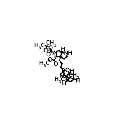 COC(=O)[C@H]1N(C(=O)OC(C)(C)C)C[C@@H]2NCC[C@@]21CCCB1O[C@@H]2C[C@@H]3C[C@@H](C3(C)C)[C@]2(C)O1